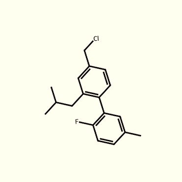 Cc1ccc(F)c(-c2ccc(CCl)cc2CC(C)C)c1